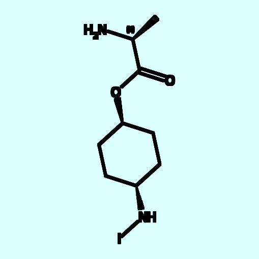 C[C@H](N)C(=O)O[C@H]1CC[C@H](NI)CC1